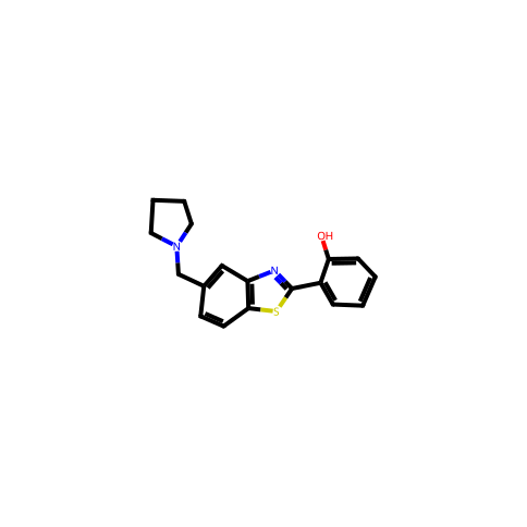 Oc1ccccc1-c1nc2cc(CN3CCCC3)ccc2s1